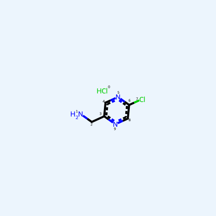 Cl.NCc1cnc(Cl)cn1